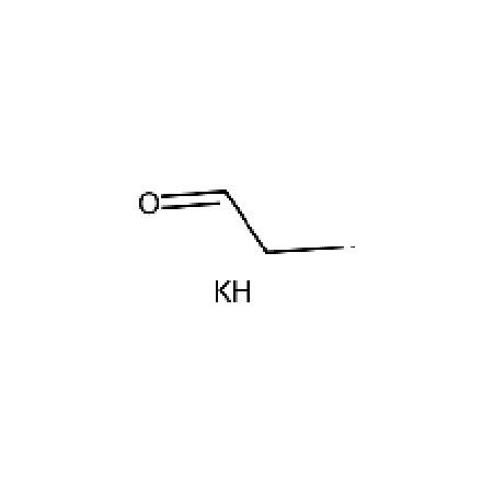 [CH2]CC=O.[KH]